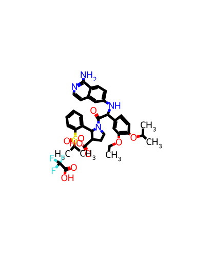 CCOc1cc(C(Nc2ccc3c(N)nccc3c2)C(=O)N2CCC(C(=O)O)C2c2ccccc2S(=O)(=O)C(C)C)ccc1OC(C)C.O=C(O)C(F)(F)F